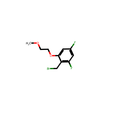 COCCOc1cc(F)cc(F)c1CBr